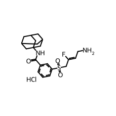 Cl.NC/C=C(\F)CS(=O)(=O)c1cccc(C(=O)NC23CC4CC(CC(C4)C2)C3)c1